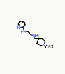 O=CN1CCC(F)(CNCCNc2ccccn2)CC1